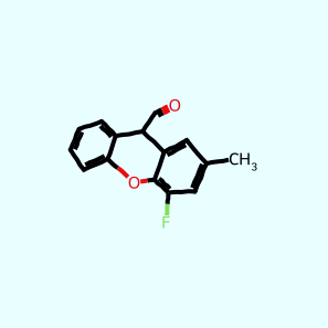 Cc1cc(F)c2c(c1)C(C=O)c1ccccc1O2